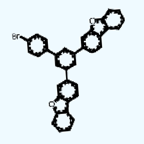 Brc1ccc(-c2cc(-c3ccc4c(c3)oc3ccccc34)cc(-c3ccc4c(c3)oc3ccccc34)c2)cc1